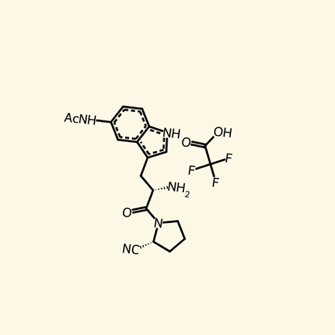 CC(=O)Nc1ccc2[nH]cc(C[C@H](N)C(=O)N3CCC[C@@H]3C#N)c2c1.O=C(O)C(F)(F)F